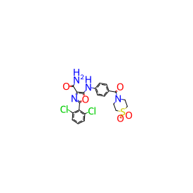 NC(=O)c1nc(-c2c(Cl)cccc2Cl)oc1Nc1ccc(C(=O)N2CCS(=O)(=O)CC2)cc1